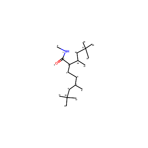 CNC(=O)C(CCC(C)CC(C)(C)C)C(C)CC(C)(C)C